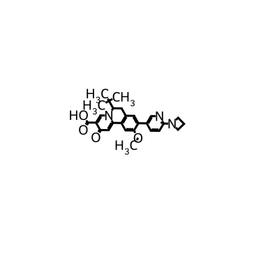 COc1cc2c(cc1-c1ccc(N3CCC3)nc1)CC(C(C)(C)C)n1cc(C(=O)O)c(=O)cc1-2